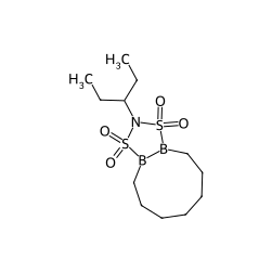 CCC(CC)N1S(=O)(=O)B2CCCCCCCB2S1(=O)=O